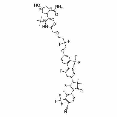 CC(C)(C)[C@H](NC(=O)COCCC(F)(F)COc1ccc(-c2ncc(N3C(=S)N(c4ccc(C#N)c(C(F)(F)F)c4F)C(=O)C3(C)C)cc2F)c(C(F)(F)F)c1)C(=O)N1C[C@H](O)C[C@H]1C(N)=O